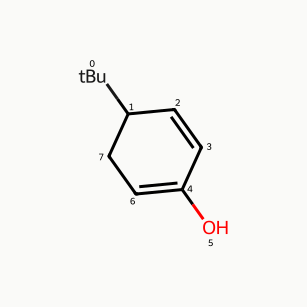 CC(C)(C)C1C=CC(O)=CC1